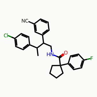 CC(c1ccc(Cl)cc1)C(CNC(=O)C1(c2ccc(F)cc2)CCCC1)c1cccc(C#N)c1